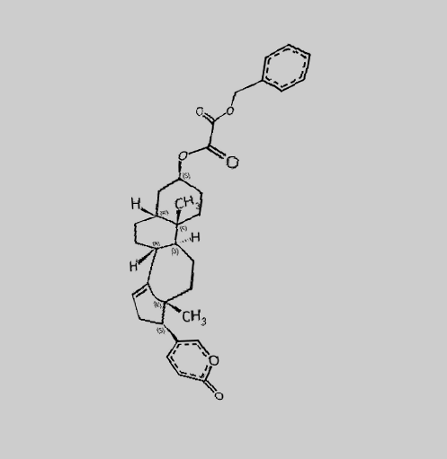 C[C@]12CC[C@H](OC(=O)C(=O)OCc3ccccc3)C[C@H]1CC[C@H]1C3=CC[C@H](c4ccc(=O)oc4)[C@@]3(C)CC[C@@H]12